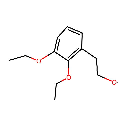 CCOc1cccc(CC[O])c1OCC